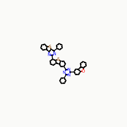 c1ccc(-c2nc(-c3ccc4oc5ccccc5c4c3)nc(-c3ccc4sc5c(-c6nc(-c7ccccc7)c7sc8ccccc8c7n6)cccc5c4c3)n2)cc1